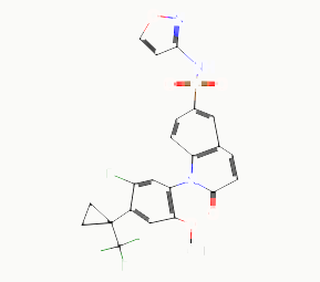 COc1cc(C2(C(F)(F)F)CC2)c(F)cc1-n1c(=O)ccc2cc(S(=O)(=O)Nc3ccon3)ccc21